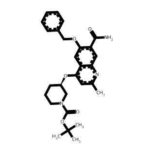 Cc1cc(O[C@@H]2CCCN(C(=O)OC(C)(C)C)C2)c2cc(OCc3ccccc3)c(C(N)=O)cc2n1